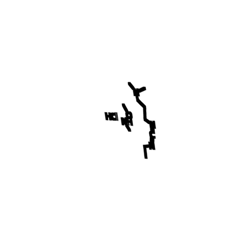 CCN=C=NCCCN(C)C.CNOC.Cl